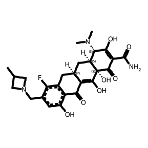 CC1CN(Cc2cc(O)c3c(c2F)C[C@H]2C[C@H]4[C@H](N(C)C)C(O)=C(C(N)=O)C(=O)[C@@]4(O)C(O)=C2C3=O)C1